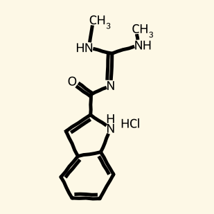 CNC(=NC(=O)c1cc2ccccc2[nH]1)NC.Cl